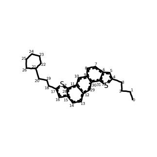 CCCCc1cc2ccc3cc4c(ccc5cc(CCCC6CCCCC6)sc54)cc3c2s1